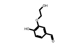 O=Cc1ccc(O)c(OCCO)c1